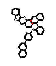 C1=Cc2c(oc3cc4cc(N(c5ccc(-c6ccc7ccccc7c6)cc5)c5ccccc5-c5cccc6ccccc56)ccc4nc23)CC1